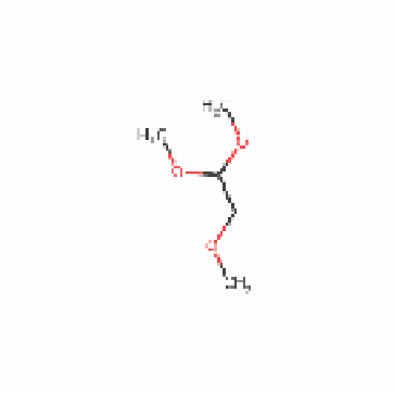 [CH2]OCC(OC)OC